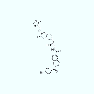 Cc1ncoc1COc1cc2c(cc1F)CN(C[C@@H](O)CNC(=O)c1ccc3c(c1)CCN(C(=O)c1ccc(Br)cc1)C3)CC2